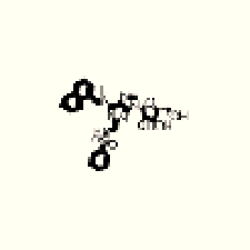 O=S(=O)(NCc1nc(NCc2cccc3ccccc23)c2ncn([C@@H]3O[C@H](CO)[C@@H](O)[C@H]3O)c2n1)c1ccccc1